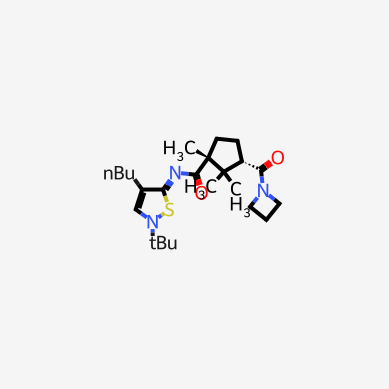 CCCCc1cn(C(C)(C)C)sc1=NC(=O)[C@]1(C)CC[C@H](C(=O)N2CCC2)C1(C)C